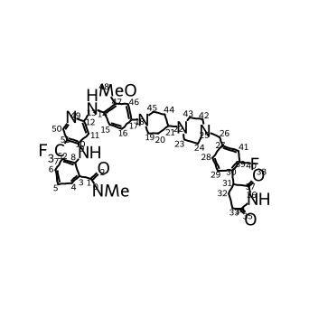 CNC(=O)c1ccccc1Nc1cc(Nc2ccc(N3CCC(N4CCN(Cc5ccc(C6CCC(=O)NC6=O)c(F)c5)CC4)CC3)cc2OC)ncc1C(F)(F)F